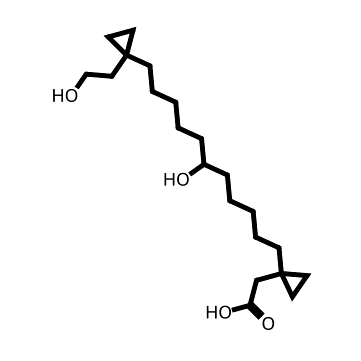 O=C(O)CC1(CCCCCC(O)CCCCCC2(CCO)CC2)CC1